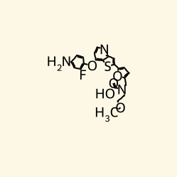 COCCN(Cc1ccc(-c2cc3nccc(Oc4ccc(N)cc4F)c3s2)o1)C(=O)O